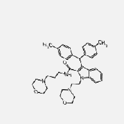 Cc1ccc(C(c2ccc(C)cc2)c2c(C(=O)NCCCN3CCOCC3)n(CCN3CCOCC3)c3ccccc23)cc1